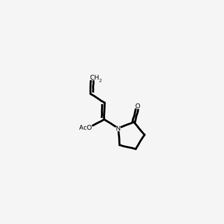 C=CC=C(OC(C)=O)N1CCCC1=O